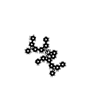 c1ccc(-c2ccc3c(c2)c2cc(-c4ccc5c(c4)c4cc(-c6ccccc6)ccc4n5-c4nc5c(c(-n6c7ccc(-c8ccccc8)cc7c7cc(-c8ccc9c(c8)c8cc(-c%10ccccc%10)ccc8n9-c8ccccc8)ccc76)n4)-c4cccc6cccc-5c46)ccc2n3-c2ccccc2)cc1